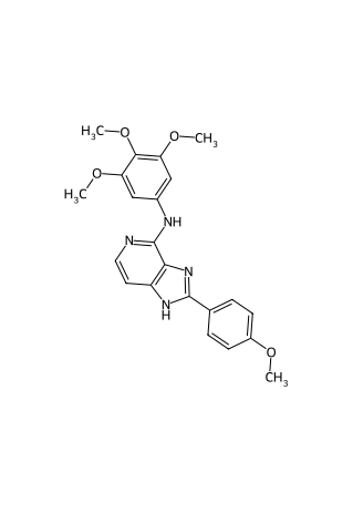 COc1ccc(-c2nc3c(Nc4cc(OC)c(OC)c(OC)c4)nccc3[nH]2)cc1